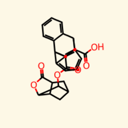 O=C1OC2C3CC(CC13)C2OC(=O)C1C(C(=O)O)C2c3ccccc3C13c1cccc2c13